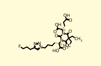 CCC1(CC)C(=O)N([C@@H](CCCCn2cc(CCCF)nn2)C(=O)O)C(=O)N([C@@H](CCC(=O)O)C(=O)O)C1=O